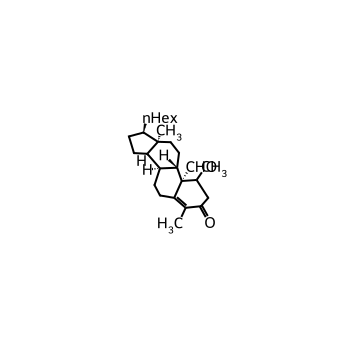 CCCCCC[C@@H]1CC[C@H]2[C@@H]3CCC4=C(C)C(=O)CC(C)[C@]4(C=O)[C@H]3CC[C@]12C